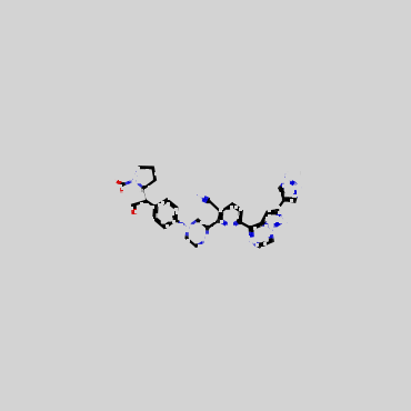 Cn1cc(-c2cc3c(-c4ccc(C#N)c(C5CN(c6ccc(C(C=O)[C@@H]7CCCN7C(=O)O)cc6)CCN5)n4)nccn3n2)cn1